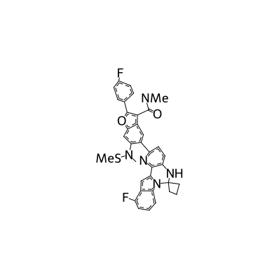 CNC(=O)c1c(-c2ccc(F)cc2)oc2cc(N(C)SC)c(-c3ccc4c(n3)-c3cc5c(F)cccc5n3C3(CCC3)N4)cc12